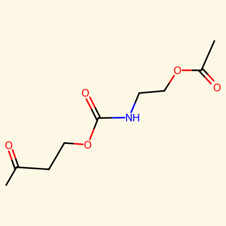 CC(=O)CCOC(=O)NCCOC(C)=O